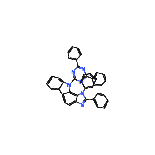 c1ccc(-c2nc(-c3ccccc3)nc(-n3c4ccccc4c4ccc5nc(-c6ccccc6)n(-c6ccccc6)c5c43)n2)cc1